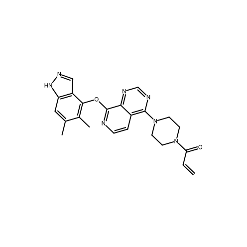 C=CC(=O)N1CCN(c2ncnc3c(Oc4c(C)c(C)cc5[nH]ncc45)nccc23)CC1